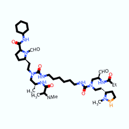 CCC(=O)N[C@H](C=O)CN(CC[C@@H]1CCPN1C)C(=O)NCCCCCCNC(=O)N(CC[C@H]1CCC(C(=O)NC2CCCCC2)N1C=O)C[C@@H](C)NC(=O)C(C)NC